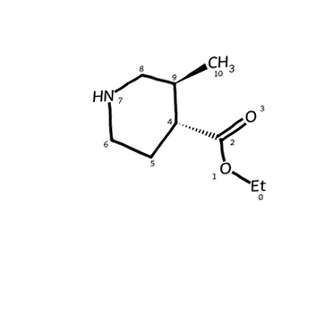 CCOC(=O)[C@@H]1CCNC[C@H]1C